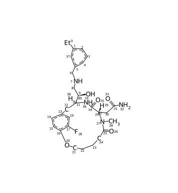 CCc1cccc(CNC[C@@H](O)[C@@H]2Cc3ccc(c(F)c3)OCCCCC(=O)N(C)[C@@H](CC(N)=O)C(=O)N2)c1